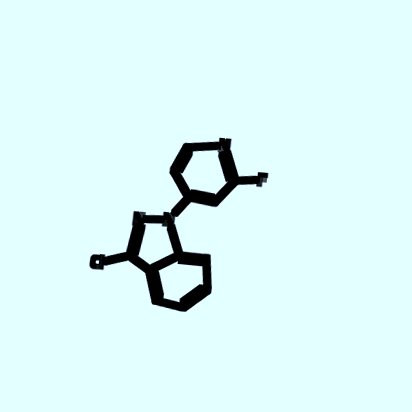 Fc1cc(-n2nc(Cl)c3ccccc32)ccn1